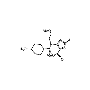 COCCN(c1cc(I)sc1C(=O)OC)C(=O)[C@H]1CC[C@H](C)CC1